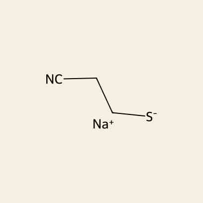 N#CCC[S-].[Na+]